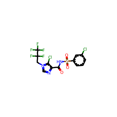 O=C(NS(=O)(=O)c1cccc(Cl)c1)c1ncn(CC(F)(F)C(F)(F)F)c1Cl